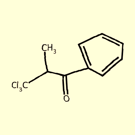 CC(C(=O)c1ccccc1)C(Cl)(Cl)Cl